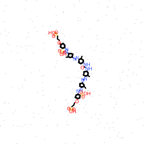 Cc1cc(NC(=O)Nc2ccc(N=Nc3ccc(N=Nc4ccc(OCCCS(=O)(=O)O)cc4S(=O)(=O)O)c(C)c3)c(C)c2)ccc1N=Nc1ccc(N=Nc2ccc(OCCCS(=O)(=O)O)cc2S(=O)(=O)O)c(C)c1